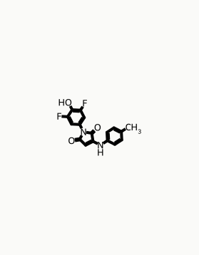 Cc1ccc(NC2=CC(=O)N(c3cc(F)c(O)c(F)c3)C2=O)cc1